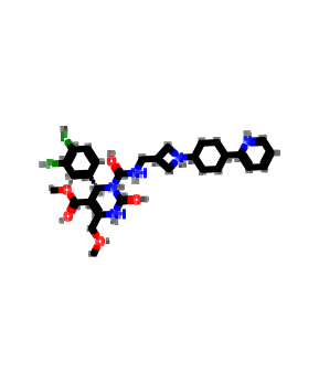 COCC1=C(C(=O)OC)[C@H](c2ccc(F)c(F)c2)N(C(=O)NCC2CN(C3CCC(c4ccccn4)CC3)C2)C(=O)N1